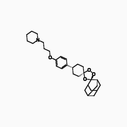 c1cc([C@H]2CC[C@]3(CC2)OO[C@]2(O3)C3CC4CC(C3)CC2C4)ccc1OCCCN1CCCCC1